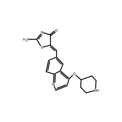 NC1=NC(=O)/C(=C/c2ccc3nccc(OC4CCNCC4)c3c2)S1